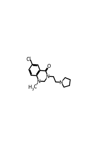 CN1CN(CCN2CCCC2)C(=O)c2cc(Cl)ccc21